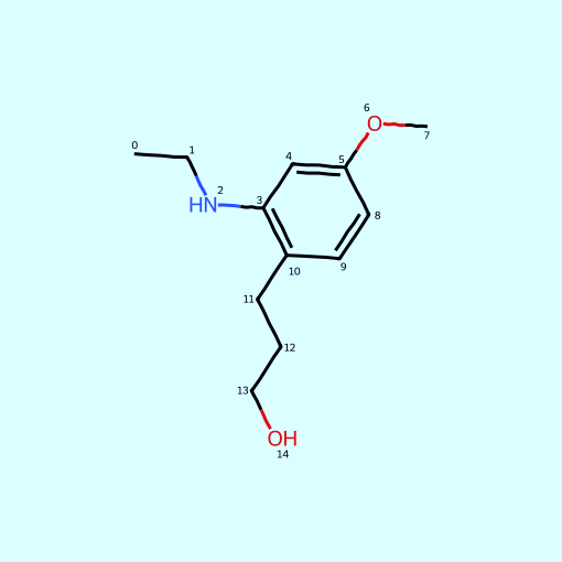 CCNc1cc(OC)ccc1CCCO